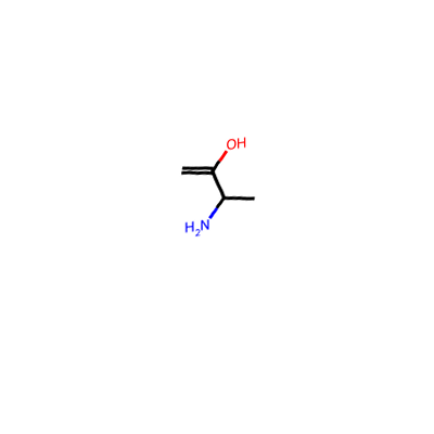 C=C(O)C(C)N